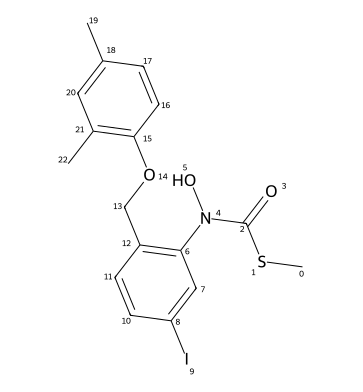 CSC(=O)N(O)c1cc(I)ccc1COc1ccc(C)cc1C